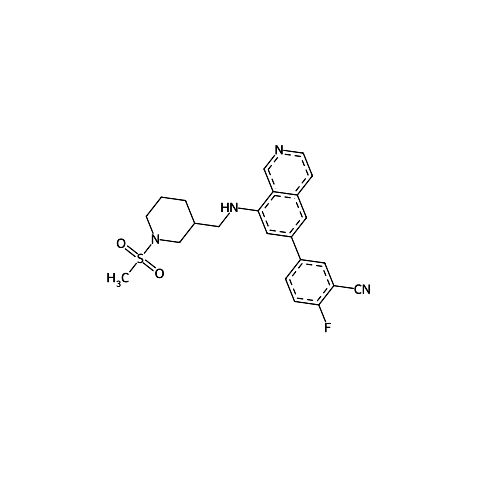 CS(=O)(=O)N1CCCC(CNc2cc(-c3ccc(F)c(C#N)c3)cc3ccncc23)C1